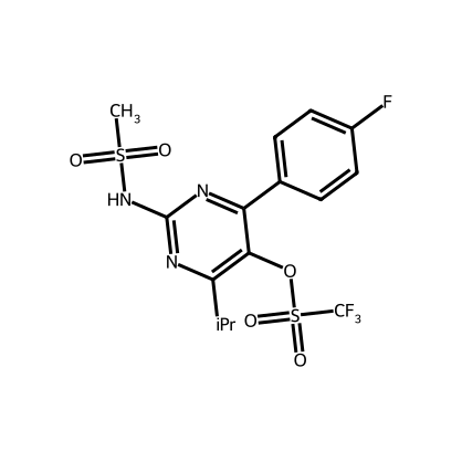 CC(C)c1nc(NS(C)(=O)=O)nc(-c2ccc(F)cc2)c1OS(=O)(=O)C(F)(F)F